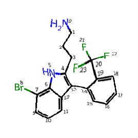 NCCCc1[nH]c2c(Br)cccc2c1-c1ccccc1C(F)(F)F